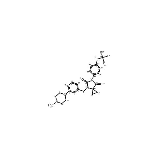 CN1CCN(c2cc(CN3C(=O)N(c4ccc(SC(F)(F)F)cc4)C(=O)C34CC4)ccn2)CC1